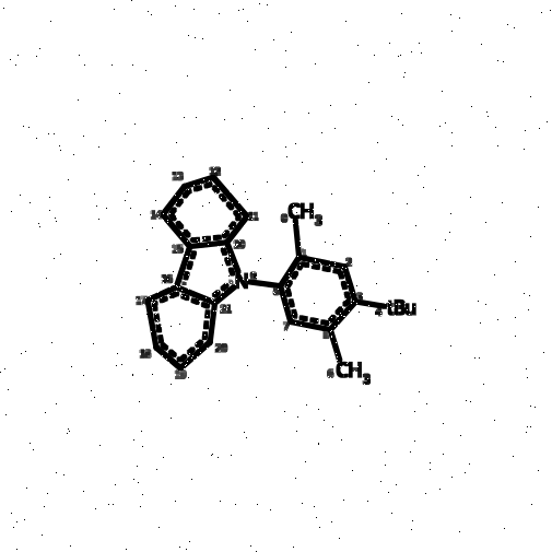 Cc1cc(C(C)(C)C)c(C)cc1-n1c2ccccc2c2ccccc21